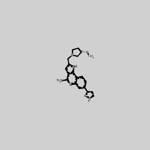 CO[C@H]1CCN(Cc2cc3c(N)nc4cc(-c5cc[nH]n5)ccc4c3[nH]2)C1